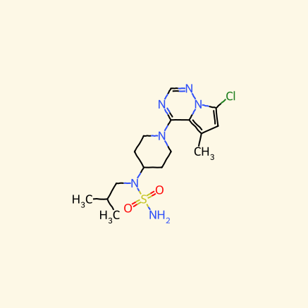 Cc1cc(Cl)n2ncnc(N3CCC(N(CC(C)C)S(N)(=O)=O)CC3)c12